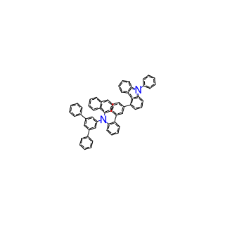 c1ccc(-c2cc(-c3ccccc3)cc(N(c3ccccc3-c3cccc(-c4cccc5c4c4ccccc4n5-c4ccccc4)c3)c3cccc4ccccc34)c2)cc1